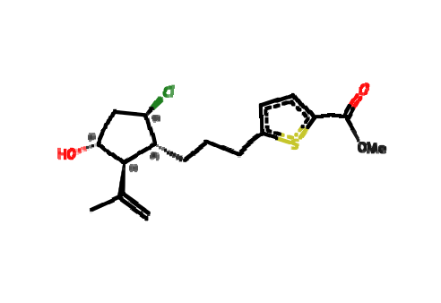 C=C(C)[C@@H]1[C@@H](CCCc2ccc(C(=O)OC)s2)[C@H](Cl)C[C@H]1O